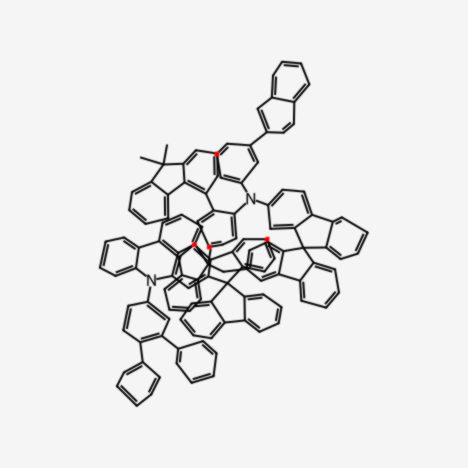 CC1(C)c2ccccc2-c2c(-c3ccccc3N(c3cccc(-c4ccc5ccccc5c4)c3)c3ccc4c(c3)C3(c5ccccc5-c5cc(CC6(C)c7ccccc7-c7c(-c8ccccc8N(c8ccc(-c9ccccc9)c(-c9ccccc9)c8)c8ccc9c(c8)C8(c%10ccccc%10-c%10ccccc%108)c8ccccc8-9)cccc76)ccc53)c3ccccc3-4)cccc21